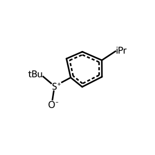 CC(C)c1ccc([S+]([O-])C(C)(C)C)cc1